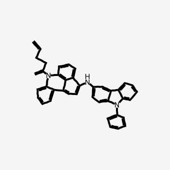 C=CCCC(=C)N1c2ccccc2-c2ccc(Nc3ccc4c(c3)c3ccccc3n4-c3ccccc3)c3cccc1c23